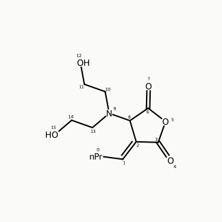 CCCC=C1C(=O)OC(=O)C1N(CCO)CCO